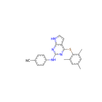 Cc1cc(C)c(Sc2nc(Nc3ccc(C#N)cc3)nc3[nH]ccc23)c(C)c1